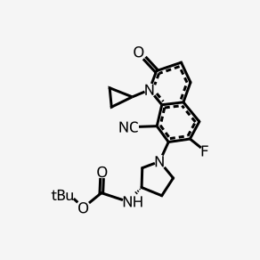 CC(C)(C)OC(=O)N[C@H]1CCN(c2c(F)cc3ccc(=O)n(C4CC4)c3c2C#N)C1